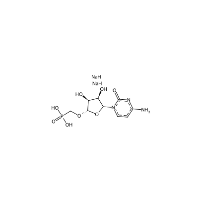 Nc1ccn(C2O[C@H](OCP(=O)(O)O)[C@@H](O)[C@H]2O)c(=O)n1.[NaH].[NaH]